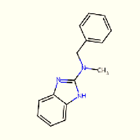 CN(Cc1ccccc1)c1nc2ccccc2[nH]1